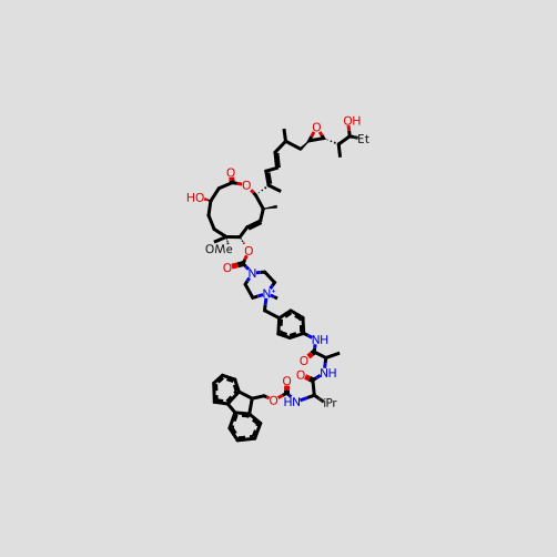 CCC(O)C(C)[C@H]1O[C@@H]1CC(C)/C=C/C=C(\C)[C@H]1OC(=O)C[C@H](O)CC[C@@](C)(OC)[C@@H](OC(=O)N2CC[N+](C)(Cc3ccc(NC(=O)C(C)NC(=O)C(NC(=O)OCC4c5ccccc5-c5ccccc54)C(C)C)cc3)CC2)/C=C/[C@@H]1C